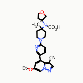 CCOc1cc(-c2ccc(N3CCC(C)(N(C(=O)O)[C@H]4CCOC4)CC3)nc2)c2c(C#N)cnn2c1